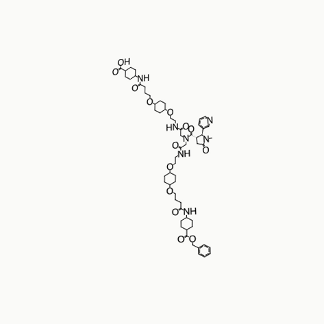 CN1C(=O)C[C@H](C(=O)N(CC(=O)NCCOC2CCC(OCCCC(=O)NC3CCC(C(=O)O)CC3)CC2)CC(=O)NCCOC2CCC(OCCCC(=O)NC3CCC(C(=O)OCc4ccccc4)CC3)CC2)[C@H]1c1cccnc1